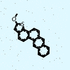 COc1cc2ccc3c4cc5ccccc5cc4ccc3c2s1